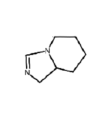 [CH]1CCCC2CN=CN12